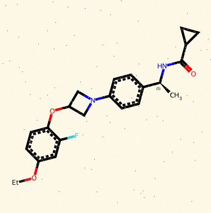 CCOc1ccc(OC2CN(c3ccc([C@H](C)NC(=O)C4CC4)cc3)C2)c(F)c1